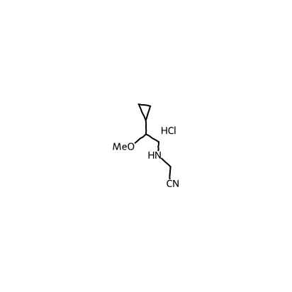 COC(CNCC#N)C1CC1.Cl